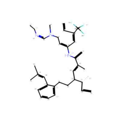 C=C/C(=C\C(=C/CN(C)/C=N\CC)NC(=C)/C(C)=C/C(CCc1ccccc1C=C(C)C)[C@H](C)C=C)C(F)(F)F